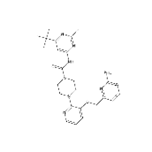 Cc1nc(NC(=O)N2CCN(c3ncccc3OCc3ccnc(N)n3)CC2)cc(C(C)(C)C)n1